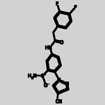 N#Cc1cnn(-c2ccc(NC(=O)Cc3ccc(F)c(F)c3)cc2[S+](N)[O-])c1